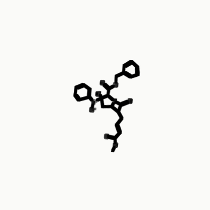 COC(=O)C=CCC1C(=O)N2C1CC(Cl)([S+]([O-])c1ccccc1)C2C(=O)OCc1ccccc1